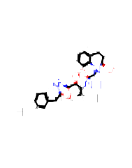 Cc1cccc(Cc2nnc(C(=O)[C@@H](NC(=O)CN3C(=O)CCc4ccccc43)C(C)C)o2)c1